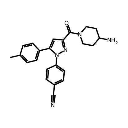 Cc1ccc(-c2cc(C(=O)N3CCC(N)CC3)nn2-c2ccc(C#N)cc2)cc1